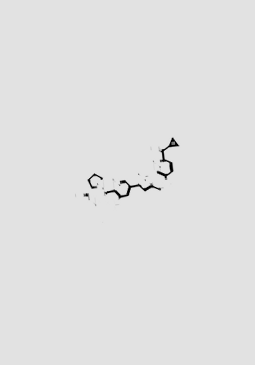 C[C@@H](Oc1ccc(C(=O)C2CC2)nc1)c1cc(-c2cnc(C(=O)N3CCC[C@H]3C(N)=O)c(F)c2)ns1